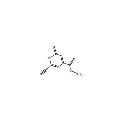 COC(=O)c1cc(C#N)[nH]c(=O)c1